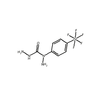 NNC(=O)N(N)c1ccc(S(F)(F)(F)(F)F)cc1